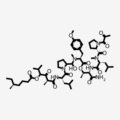 CC[C@H](C)CCCC(=O)OC(C(=O)[C@H](C)C(=O)N[C@@H](CC(C)C)C(=O)N1CCCC1C(O)N(C)[C@@H](Cc1ccc(OC)cc1)C(=O)O[C@H](C)[C@H](NC(=O)[C@@H](CC(C)C)N(C)C(=O)[C@@H]1CCCN1C(=O)C(C)=O)C(N)=O)C(C)C